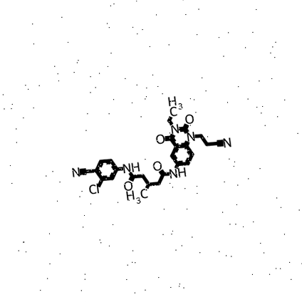 CCn1c(=O)c2cc(NC(=O)CC(C)CC(=O)Nc3ccc(C#N)c(Cl)c3)ccc2n(CCC#N)c1=O